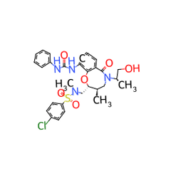 C[C@@H]1CN([C@H](C)CO)C(=O)c2cccc(NC(=O)Nc3ccccc3)c2O[C@H]1CN(C)S(=O)(=O)c1ccc(Cl)cc1